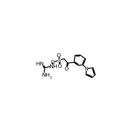 N=C(N)NOS(=O)(=O)CC(=O)c1cccc(-n2cccc2)c1